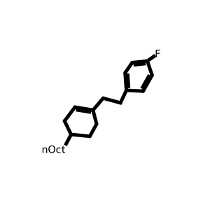 CCCCCCCCC1CC=C(CCc2ccc(F)cc2)CC1